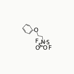 O=S(=O)(F)N(CCOc1ccccc1)SF